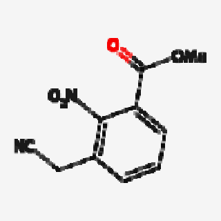 COC(=O)c1cccc(CC#N)c1[N+](=O)[O-]